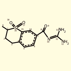 CC1CCc2ccc(C(=O)N=C(N)N)cc2S1(=O)=O